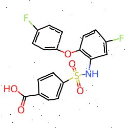 O=C(O)c1ccc(S(=O)(=O)Nc2cc(F)ccc2Oc2ccc(F)cc2)cc1